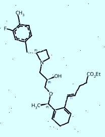 CCOC(=O)CC/C=C/C1=CCCC=C1[C@@H](C)OC[C@H](O)CN1CC[C@H]1Cc1ccc(C)c(F)c1